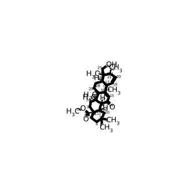 COC(=O)[C@]12CCC(C)(C)C[C@H]1[C@H]1C(=O)C=C3[C@@]4(C)C=C[C@H](C)[C@@](C)(CO)[C@@H]4CC[C@@]3(C)[C@]1(C)CC2